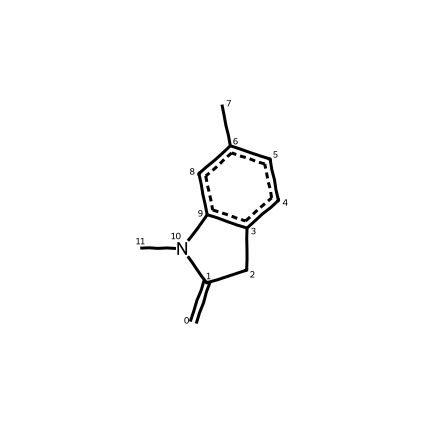 C=C1Cc2ccc(C)cc2N1C